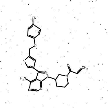 C=CC(=O)N1CCCC(n2nc(-c3csc(COc4ccc(C#N)cc4)c3)c3c(N)ncnc32)C1